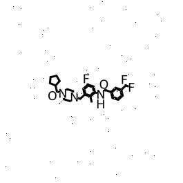 Cc1c(CN2CCN(C(=O)C3CCCC3)[C@@H](C)C2)cc(F)cc1NC(=O)c1cccc(C(F)F)c1